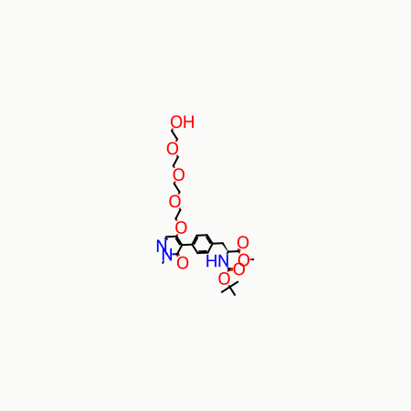 COC(=O)[C@H](Cc1ccc(-c2c(OCCOCCOCCOCCO)cnn(C)c2=O)cc1)NC(=O)OC(C)(C)C